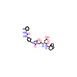 Cc1ccccc1NC(=O)Nc1ccc(CN2CC(=O)N(CC(=O)N[C@@H](CC(=O)O)C(=O)NC3C4CC5CC6CC3C6(C5)C4)C2=O)cc1